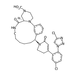 O=C1NCCCCC[C@H](N2CCC(c3cc(Cl)ccc3-n3cc(Cl)nn3)=CC2=O)c2cccc(c2)N2CCN(C(=O)O)C[C@H]12